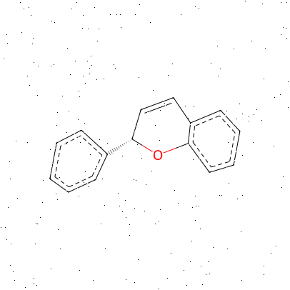 C1=C[C@@H](c2ccccc2)Oc2ccccc21